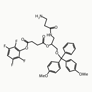 COc1ccc(C(OCC(CNC(=O)CCN)OC(=O)CCC(=O)Oc2c(F)c(F)cc(F)c2F)(c2ccccc2)c2ccc(OC)cc2)cc1